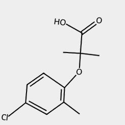 Cc1cc(Cl)ccc1OC(C)(C)C(=O)O